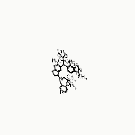 COC(=O)C(C)(C)C(c1ccc2c(c1)C(N1Cc3cnccc3OC(C)(C)C1)CC2)c1ccc2c(nnn2C)c1C